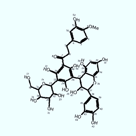 COc1ccc(CCC(=O)c2c(O)c(C3OC(CO)C(O)C(O)C3O)c(O)c(C3c4c(O)cc(O)cc4OC(c4ccc(O)c(O)c4)C3O)c2O)cc1O